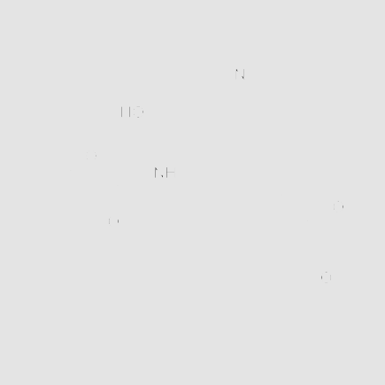 COc1cc2c(cc1OC)C(c1ccncc1CO)C(NC(=O)OC(C)(C)C)CC2